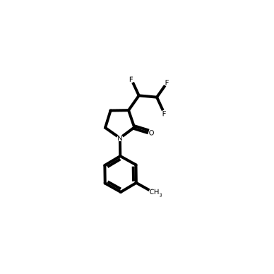 Cc1cccc(N2CCC(C(F)C(F)F)C2=O)c1